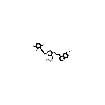 COc1ccc2nccc(CCC[C@@H]3CCN(CC#Cc4c(F)ccc(F)c4F)C[C@@H]3CC(=O)O)c2c1